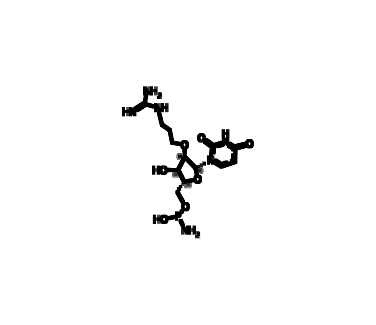 N=C(N)NCCCO[C@@H]1[C@H](O)[C@@H](COP(N)O)O[C@H]1n1ccc(=O)[nH]c1=O